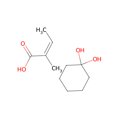 CC=C(C)C(=O)O.OC1(O)CCCCC1